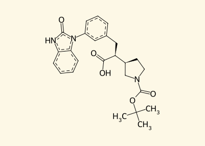 CC(C)(C)OC(=O)N1CC[C@H]([C@H](Cc2cccc(-n3c(=O)[nH]c4ccccc43)c2)C(=O)O)C1